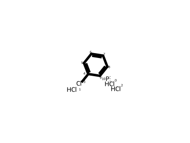 Cl.Cl.Cl.Clc1ccccc1.[P]